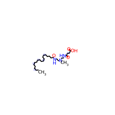 CC/C=C\C/C=C\C/C=C\C/C=C\C/C=C\CCCC(=O)NCCN(C)CCNC(=O)/C=C/C(=O)O